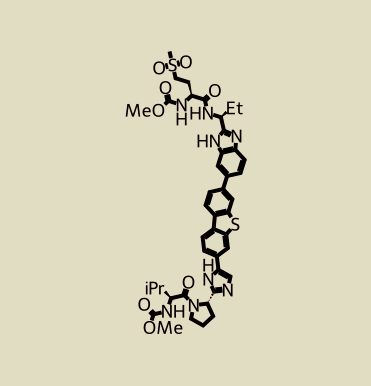 CC[C@H](NC(=O)[C@H](CCS(C)(=O)=O)NC(=O)OC)c1nc2ccc(-c3ccc4c(c3)sc3cc(-c5cnc([C@@H]6CCCN6C(=O)[C@@H](NC(=O)OC)C(C)C)[nH]5)ccc34)cc2[nH]1